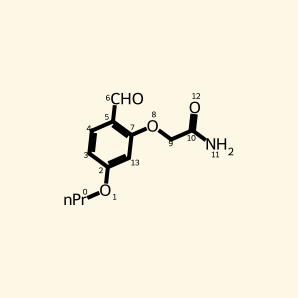 CCCOc1ccc(C=O)c(OCC(N)=O)c1